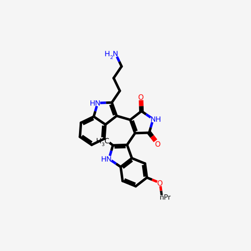 CCCOc1ccc2[nH]c(C)c(C3=C(c4c(CCCN)[nH]c5ccccc45)C(=O)NC3=O)c2c1